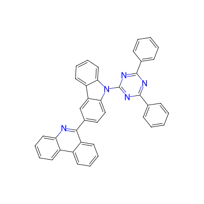 c1ccc(-c2nc(-c3ccccc3)nc(-n3c4ccccc4c4cc(-c5nc6ccccc6c6ccccc56)ccc43)n2)cc1